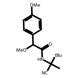 COc1ccc(C(OC)C(=O)NC(C)(C#N)C(C)(C)C)cc1